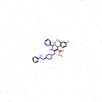 COC(=O)C1=C(CN2CCC(=NNc3ccccc3)CC2)NC(c2ccccn2)NC1c1ccc(F)cc1Cl